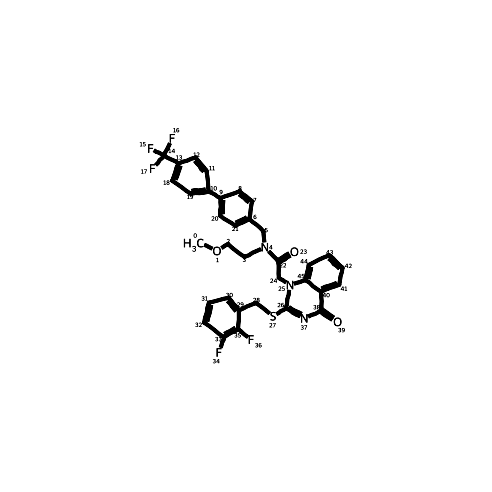 COCCN(Cc1ccc(-c2ccc(C(F)(F)F)cc2)cc1)C(=O)Cn1c(SCc2cccc(F)c2F)nc(=O)c2ccccc21